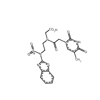 Cc1cn(CC(=O)N(CCN(c2nc3ccccc3s2)[SH](=O)=O)CC(=O)O)c(=O)[nH]c1=O